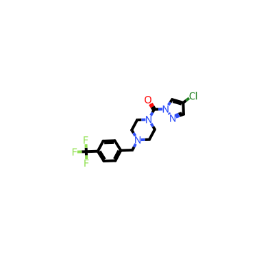 O=C(N1CCN(Cc2ccc(C(F)(F)F)cc2)CC1)n1cc(Cl)cn1